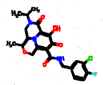 CC1=C2CN(C(C)C)C(=O)c3c(O)c(=O)c(C(=O)NCc4ccc(F)c(Cl)c4)c(n32)CO1